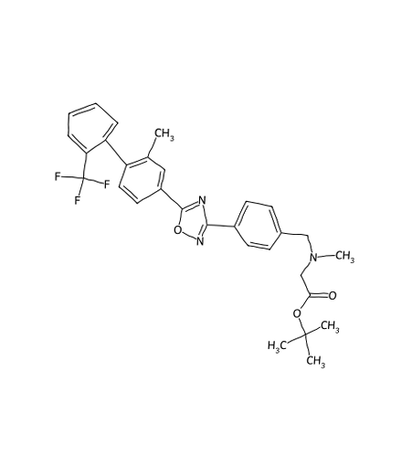 Cc1cc(-c2nc(-c3ccc(CN(C)CC(=O)OC(C)(C)C)cc3)no2)ccc1-c1ccccc1C(F)(F)F